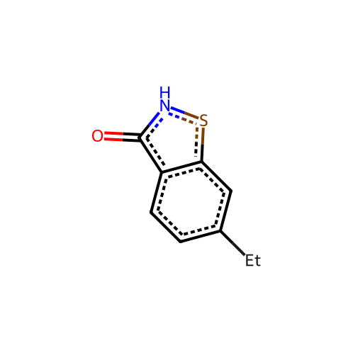 CCc1ccc2c(=O)[nH]sc2c1